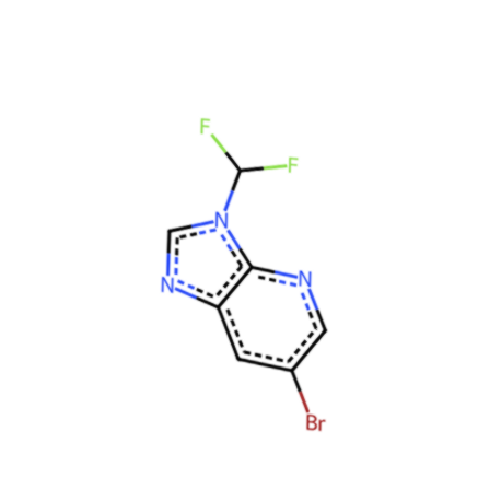 FC(F)n1cnc2cc(Br)cnc21